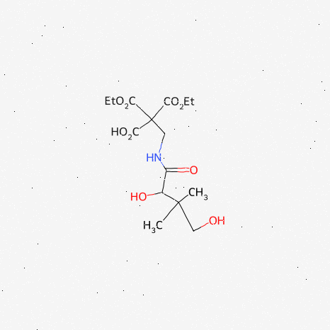 CCOC(=O)C(CNC(=O)C(O)C(C)(C)CO)(C(=O)O)C(=O)OCC